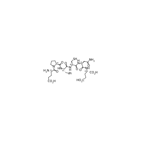 CC(C)C[C@H](NC(=O)[C@@H]1CCCN1C(=O)[C@@H](N)CCC(=O)O)C(=O)N[C@@H](CS)C(=O)N[C@@H](CC(N)=O)C(=O)N[C@@H](CCC(=O)O)C(=O)O